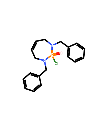 O=P1(Cl)N(Cc2ccccc2)CC=CCN1Cc1ccccc1